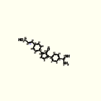 N=C(N)c1ccc(-n2ccn(-c3ccc(/C=C/C(=O)O)cc3)c2=O)cc1